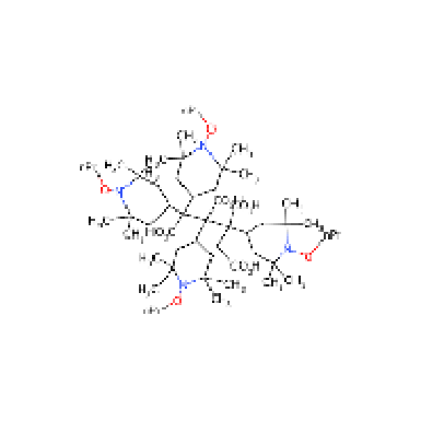 CCCON1C(C)(C)CC(C(CC(=O)O)(C(=O)O)C(C(=O)O)(C2CC(C)(C)N(OCCC)C(C)(C)C2)C(C(=O)O)(C2CC(C)(C)N(OCCC)C(C)(C)C2)C2CC(C)(C)N(OCCC)C(C)(C)C2)CC1(C)C